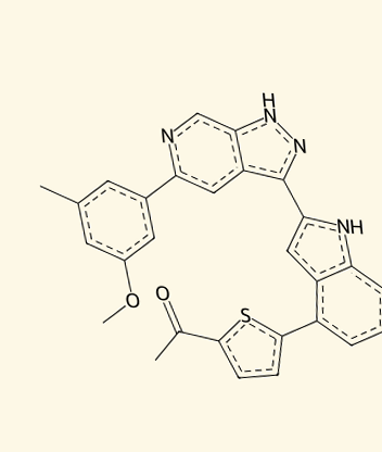 COc1cc(C)cc(-c2cc3c(-c4cc5c(-c6ccc(C(C)=O)s6)cccc5[nH]4)n[nH]c3cn2)c1